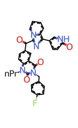 CCCn1c(=O)n(Cc2ccc(F)cc2)c(=O)c2cc(C(=O)c3nc(-c4ccc(=O)[nH]c4)c4ccccn34)ccc21